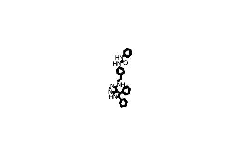 O=C(Nc1ccccc1)Nc1ccc(CCNc2ncnc3[nH]c(-c4ccccc4)c(-c4ccccc4)c23)cc1